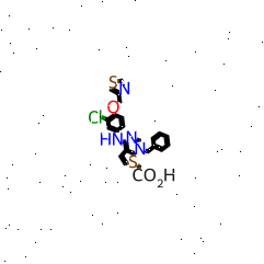 O=C(O)CS1=C2C(=C(Nc3ccc(OCc4cscn4)c(Cl)c3)N=CN2Cc2ccccc2)C=C1